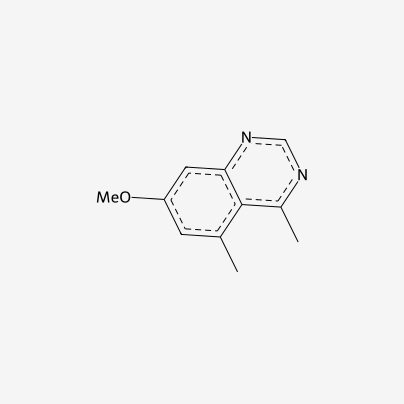 COc1cc(C)c2c(C)ncnc2c1